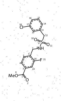 COC(=O)c1ccc(CNS(=O)(=O)Cc2cccc(Cl)c2)c(F)c1